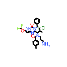 Cc1ccc(C(=O)N(CCCN)C(c2nc3cc(OC(F)F)nn3c(=O)n2Cc2ccccc2)C(C)C)cc1.Cl